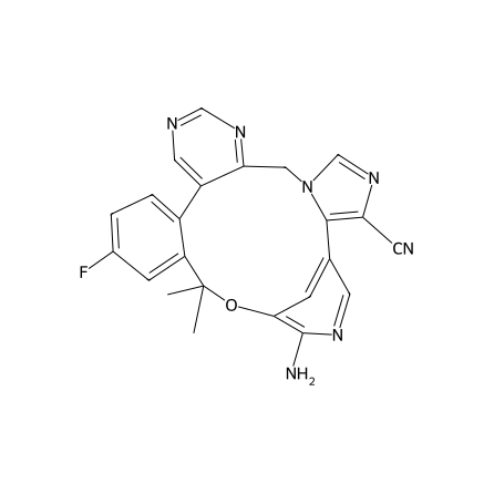 CC1(C)Oc2cc(cnc2N)-c2c(C#N)ncn2Cc2ncncc2-c2ccc(F)cc21